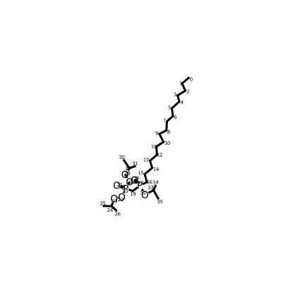 CCCCCCCCCCCCCCCCCP(=O)(CP(=O)(OOC(C)C)OOC(C)C)OC(C)C